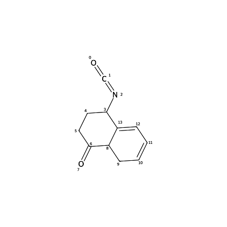 O=C=NC1CCC(=O)C2CC=CC=C12